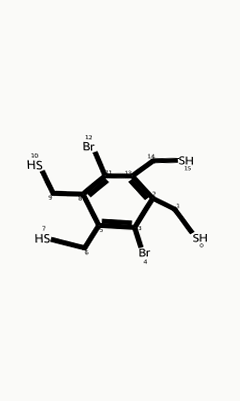 SCc1c(Br)c(CS)c(CS)c(Br)c1CS